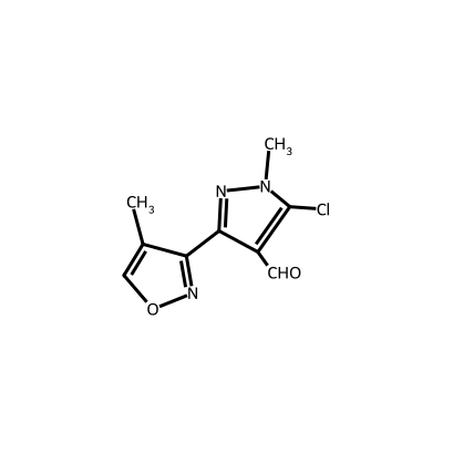 Cc1conc1-c1nn(C)c(Cl)c1C=O